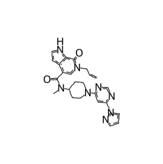 C=CCn1cc(C(=O)N(C)C2CCN(c3cc(-n4cccn4)ncn3)CC2)c2cc[nH]c2c1=O